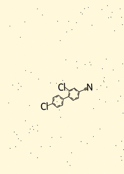 N#Cc1ccc(-c2ccc(Cl)cc2)c(Cl)c1